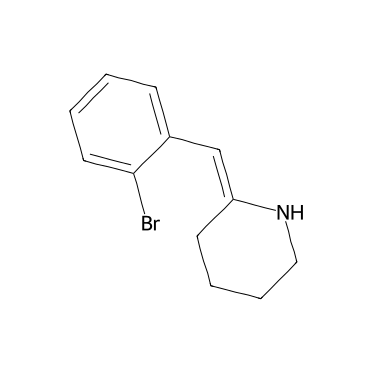 Brc1ccccc1C=C1CCCCN1